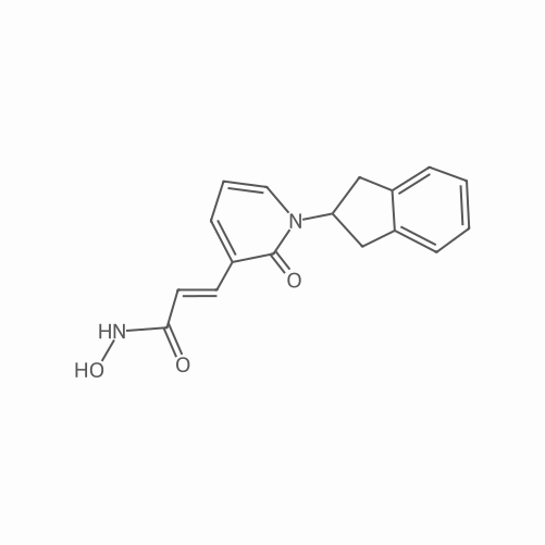 O=C(/C=C/c1cccn(C2Cc3ccccc3C2)c1=O)NO